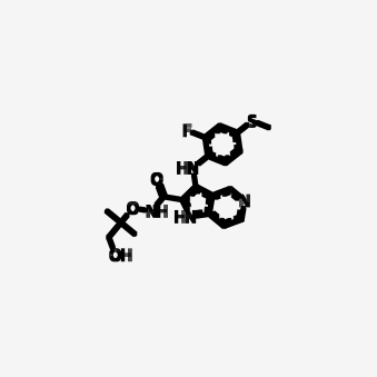 CSc1ccc(Nc2c(C(=O)NOC(C)(C)CO)[nH]c3ccncc23)c(F)c1